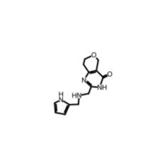 O=c1[nH]c(CNCc2ccc[nH]2)nc2c1COCC2